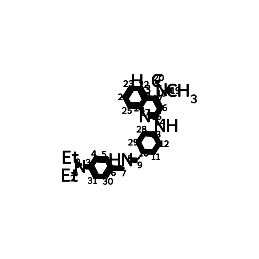 CCN(CC)c1ccc(CNC[C@H]2CC[C@@H](Nc3cc(N(C)C)c4ccccc4n3)CC2)cc1